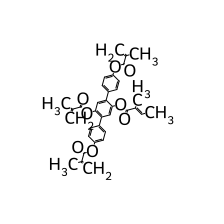 C=C(C)C(=O)Oc1ccc(-c2cc(OC(=O)/C(C)=C/C)c(-c3ccc(OC(=O)C(=C)C)cc3)cc2OC(=O)C(=C)C)cc1